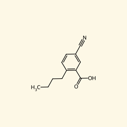 CCCCc1ccc(C#N)cc1C(=O)O